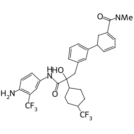 CNC(=O)C1=CC=CC(c2cccc(CC(O)(C(=O)Nc3ccc(N)c(C(F)(F)F)c3)C3CCC(C(F)(F)F)CC3)c2)C1